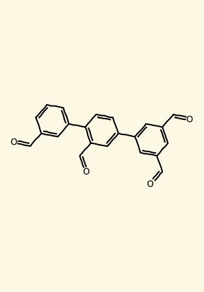 O=Cc1cc(C=O)cc(-c2ccc(-c3cccc(C=O)c3)c(C=O)c2)c1